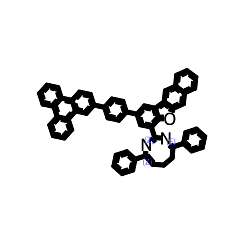 C1=C(c2ccccc2)/N=C(c2cc(-c3ccc(-c4ccc5c6ccccc6c6ccccc6c5c4)cc3)cc3c2oc2cc4ccccc4cc23)\N=C(\c2ccccc2)CC\1